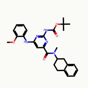 COc1ccccc1Nc1cc(C(=O)N(C)C2CCc3ccccc3C2)nc(NC(=O)OC(C)(C)C)n1